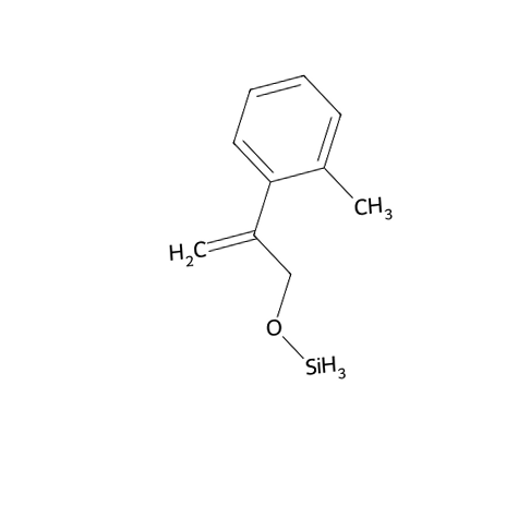 C=C(CO[SiH3])c1ccccc1C